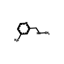 CNCc1cc(C)ccn1